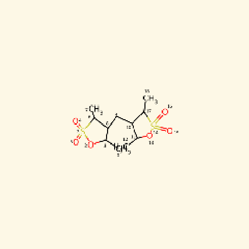 CC1OS(=O)(=O)C(C)C1CC1C(C)OS(=O)(=O)C1C